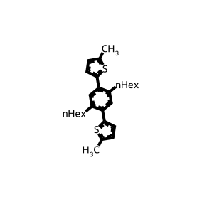 CCCCCCc1cc(-c2ccc(C)s2)c(CCCCCC)cc1-c1ccc(C)s1